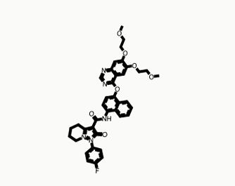 COCCOc1cc2ncnc(Oc3ccc(NC(=O)c4c5n(n(-c6ccc(F)cc6)c4=O)CCCC5)c4ccccc34)c2cc1OCCOC